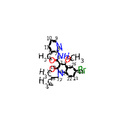 COc1c(C(=O)Nc2ncccc2C)c(=O)n(CC(C)C)c2ccc(Br)cc12